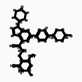 CCCc1cc(C)[nH]c(=O)c1CNC(=O)c1cc(-c2ccc(N3CCN(C)CC3)nc2)cc2c1ccn2C1CCOCC1